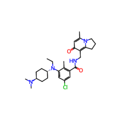 CCN(c1cc(Cl)cc(C(=O)NCc2c3n(c(C)cc2=O)CCC3)c1C)[C@H]1CC[C@H](N(C)C)CC1